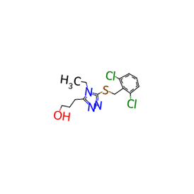 CCn1c(CCCO)nnc1SCc1c(Cl)cccc1Cl